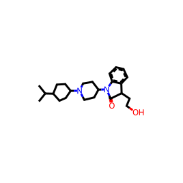 CC(C)C1CCC(N2CCC(N3C(=O)C(CCO)c4ccccc43)CC2)CC1